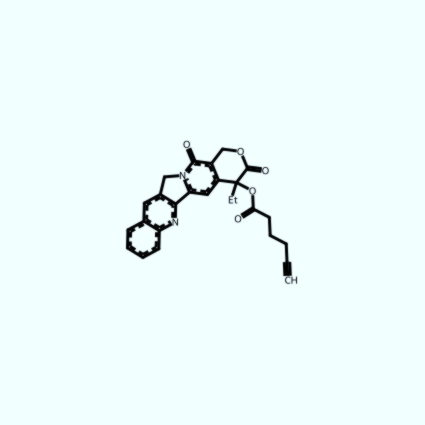 C#CCCCC(=O)OC1(CC)C(=O)OCc2c1cc1n(c2=O)Cc2cc3ccccc3nc2-1